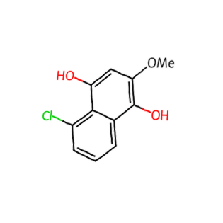 COc1cc(O)c2c(Cl)cccc2c1O